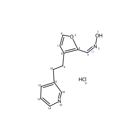 Cl.O/N=C\c1occc1CCc1cccnc1